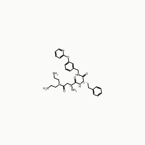 NCCN(CCN)C(=O)C[C@H](N)C(=O)N[C@@H](CCc1ccccc1)C(=O)NCc1cccc(Oc2ccccn2)c1